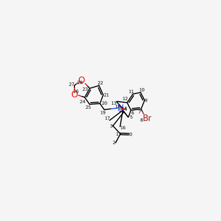 C=C(C)CC1C2c3c(Br)cccc3C(CC2(C)C)N1Cc1ccc2c(c1)OCO2